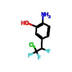 Nc1ccc(C(F)C(F)(F)Cl)cc1O